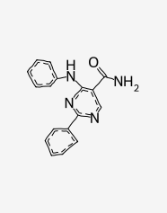 NC(=O)c1cnc(-c2ccccc2)nc1Nc1ccccc1